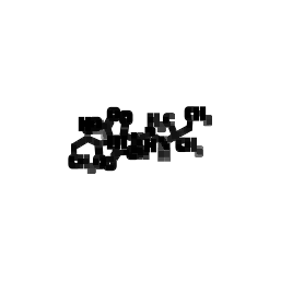 CCC(C)C(=O)[PH](C(=O)O)(C(=O)O)C(=O)NPNC(C)(C)CC